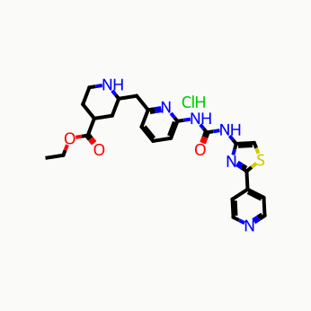 CCOC(=O)C1CCNC(Cc2cccc(NC(=O)Nc3csc(-c4ccncc4)n3)n2)C1.Cl